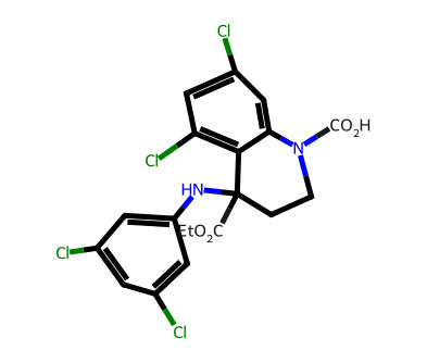 CCOC(=O)C1(Nc2cc(Cl)cc(Cl)c2)CCN(C(=O)O)c2cc(Cl)cc(Cl)c21